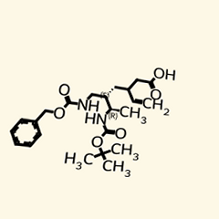 C=CC(CC(=O)O)C[C@@H](CNC(=O)OCc1ccccc1)[C@@H](C)NC(=O)OC(C)(C)C